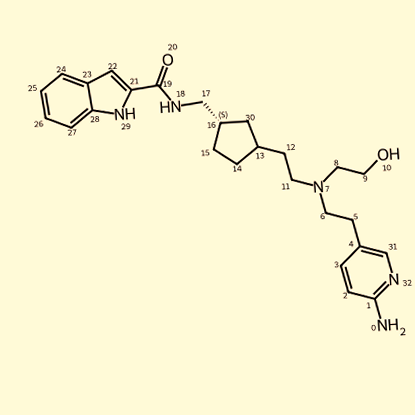 Nc1ccc(CCN(CCO)CCC2CC[C@H](CNC(=O)c3cc4ccccc4[nH]3)C2)cn1